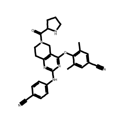 Cc1cc(C#N)cc(C)c1Oc1nc(Nc2ccc(C#N)cc2)nc2c1CN(C(=O)C1CCCN1)CC2